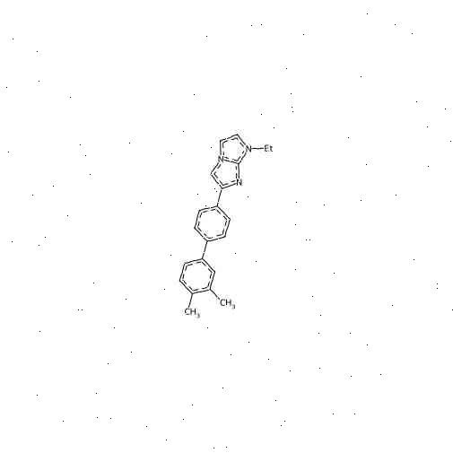 CCn1ccn2cc(-c3ccc(-c4ccc(C)c(C)c4)cc3)nc12